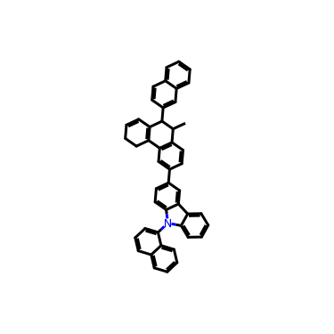 CC1c2ccc(-c3ccc4c(c3)c3ccccc3n4-c3cccc4ccccc34)cc2C2=C(C=CCC2)C1c1ccc2ccccc2c1